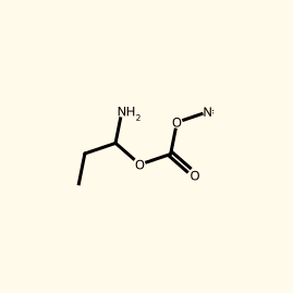 CCC(N)OC(=O)O[N]